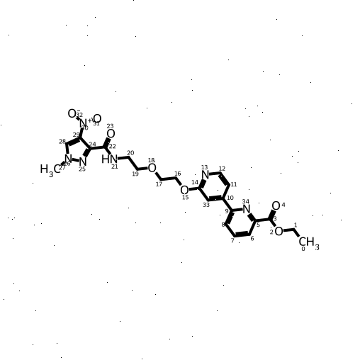 CCOC(=O)c1cccc(-c2ccnc(OCCOCCNC(=O)c3nn(C)cc3[N+](=O)[O-])c2)n1